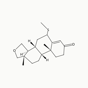 CSC1C[C@@H]2[C@@H](CC[C@]3(C)COC[C@@H]23)[C@@]2(C)CCC(=O)C=C12